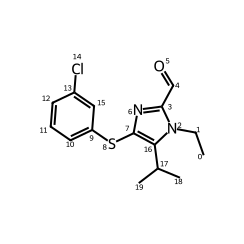 CCn1c(C=O)nc(Sc2cccc(Cl)c2)c1C(C)C